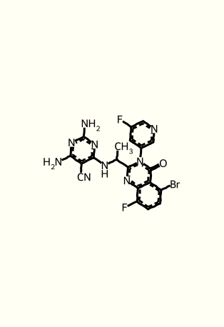 CC(Nc1nc(N)nc(N)c1C#N)c1nc2c(F)ccc(Br)c2c(=O)n1-c1cncc(F)c1